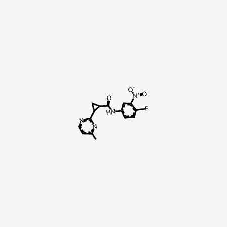 Cc1ccnc(C2CC2C(=O)Nc2ccc(F)c([N+](=O)[O-])c2)n1